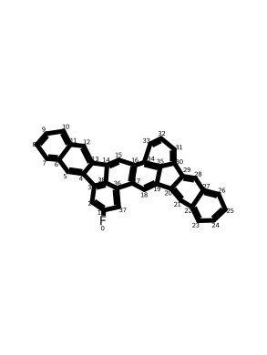 Fc1cc2c3cc4ccccc4cc3c3cc4c(cc5c6cc7ccccc7cc6c6cccc4c65)c(c1)c23